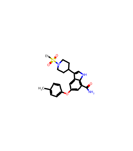 CCS(=O)(=O)N1CCC(c2c[nH]c3c(C(N)=O)cc(Oc4ccc(C)cc4)cc23)CC1